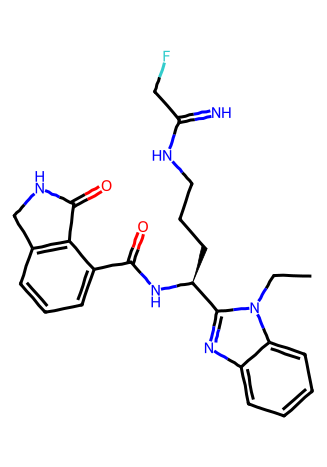 CCn1c([C@H](CCCNC(=N)CF)NC(=O)c2cccc3c2C(=O)NC3)nc2ccccc21